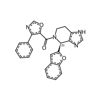 O=C(c1ocnc1-c1ccccc1)N1CCc2[nH]cnc2[C@H]1c1cc2ccccc2o1